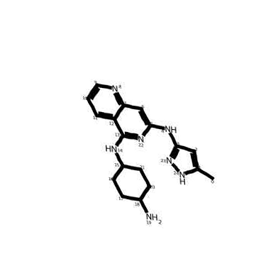 Cc1cc(Nc2cc3ncccc3c(NC3CCC(N)CC3)n2)n[nH]1